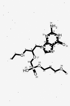 CCOCC(Cn1cnc2c(=O)[nH]c(N)nc21)OCP(=O)(O)OCCCOC